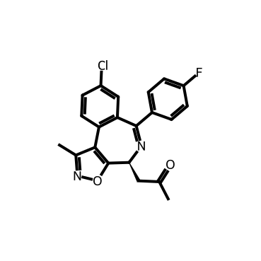 CC(=O)C[C@@H]1N=C(c2ccc(F)cc2)c2cc(Cl)ccc2-c2c(C)noc21